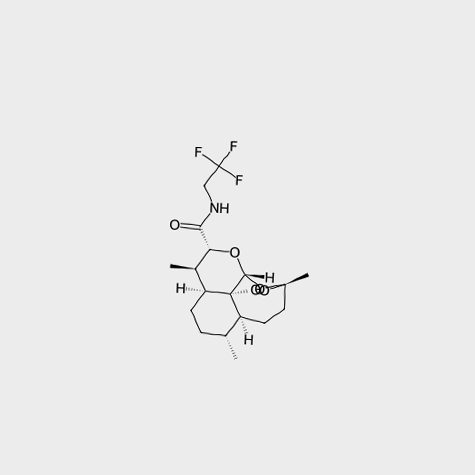 C[C@H]1[C@H](C(=O)NCC(F)(F)F)O[C@@H]2O[C@@]3(C)CC[C@H]4[C@H](C)CC[C@@H]1[C@@]24OO3